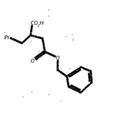 CC(C)CC(CC(=O)OCc1ccccc1)C(=O)O